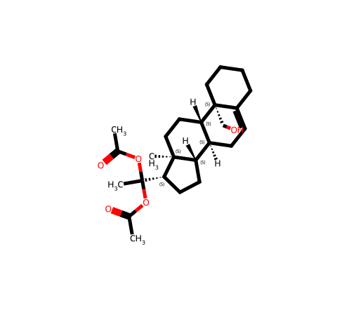 CC(=O)OC(C)(OC(C)=O)[C@H]1CC[C@H]2[C@@H]3CC=C4CCCC[C@]4(CO)[C@H]3CC[C@]12C